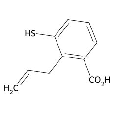 C=CCc1c(S)cccc1C(=O)O